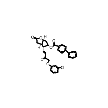 O=C(/C=C/[C@@H]1[C@H]2CC(=O)O[C@H]2C[C@H]1OC(=O)c1ccc(-c2ccccc2)cc1)COc1cccc(Cl)c1